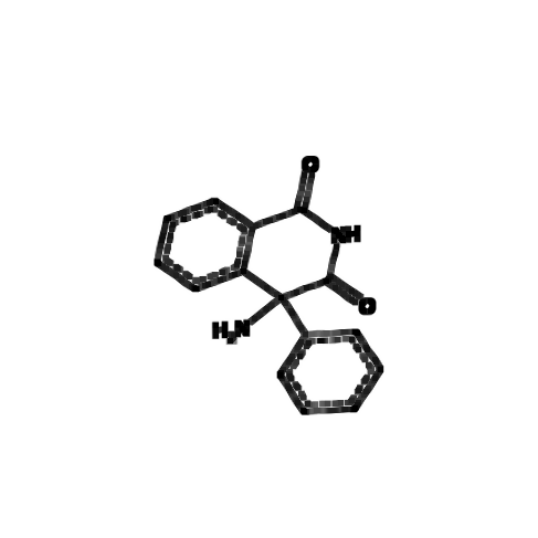 NC1(c2ccccc2)C(=O)NC(=O)c2ccccc21